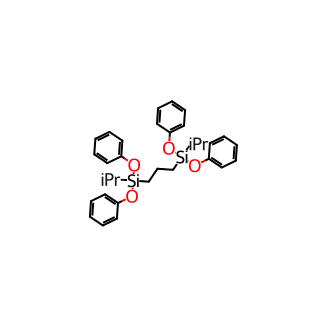 CC(C)[Si](CCC[Si](Oc1ccccc1)(Oc1ccccc1)C(C)C)(Oc1ccccc1)Oc1ccccc1